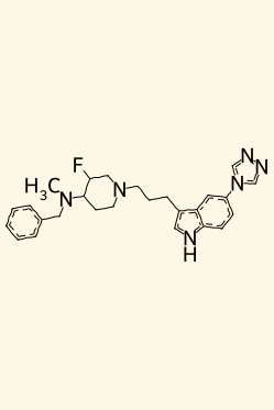 CN(Cc1ccccc1)C1CCN(CCCc2c[nH]c3ccc(-n4cnnc4)cc23)CC1F